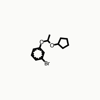 CC(Oc1cccc(Br)c1)OC1CCCC1